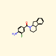 Nc1ccc(C(=O)N2CCCC3c4ccccc4CC32)cc1F